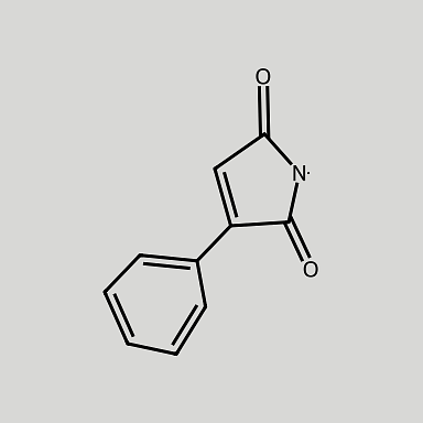 O=C1C=C(c2ccccc2)C(=O)[N]1